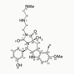 CNCCNCCN1C(=O)N2[C@H](c3cccc(O)c3)c3[nH]c4ccc(OC)c(F)c4c3C[C@@]2(C)C1=O